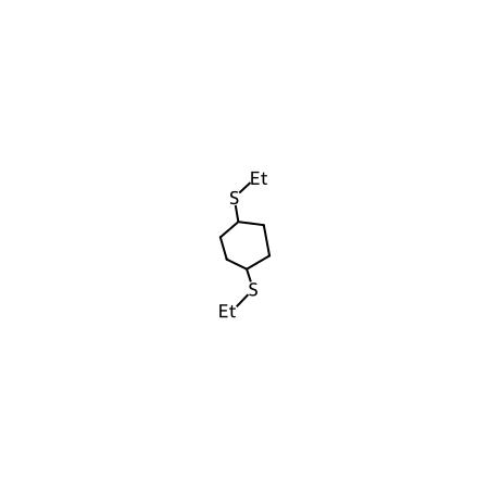 CCSC1CCC(SCC)CC1